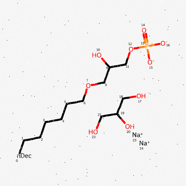 CCCCCCCCCCCCCCCCOCC(O)COP(=O)([O-])[O-].OCC(O)CO.[Na+].[Na+]